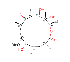 CC[C@H]1OC(=O)[C@H](C)C[C@H](C)C(O)[C@](C)(OC)C[C@@H](C)C(=O)[C@H](C)[C@@H](O)[C@]1(C)O